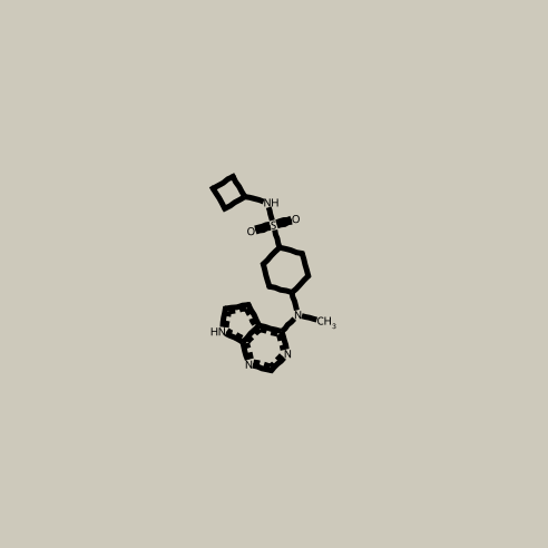 CN(c1ncnc2[nH]ccc12)C1CCC(S(=O)(=O)NC2CCC2)CC1